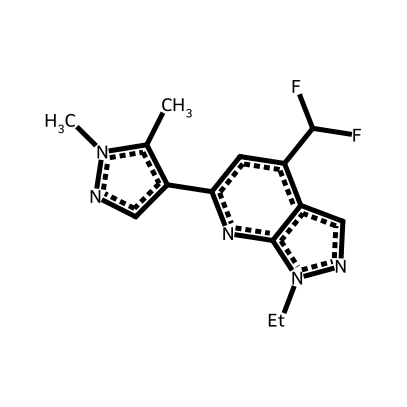 CCn1ncc2c(C(F)F)cc(-c3cnn(C)c3C)nc21